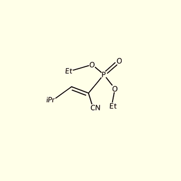 CCOP(=O)(OCC)C(C#N)=CC(C)C